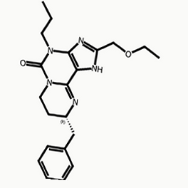 CCCN1C(=O)N2CC[C@@H](Cc3ccccc3)N=C2c2[nH]c(COCC)nc21